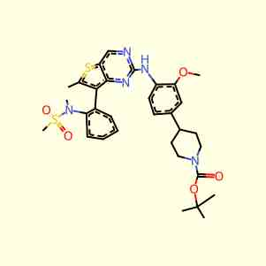 COc1cc(C2CCN(C(=O)OC(C)(C)C)CC2)ccc1Nc1ncc2sc(C)c(-c3ccccc3N(C)S(C)(=O)=O)c2n1